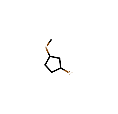 CSC1CCC(S)C1